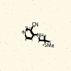 CSC(C)(C)CNc1ccncc1C#N